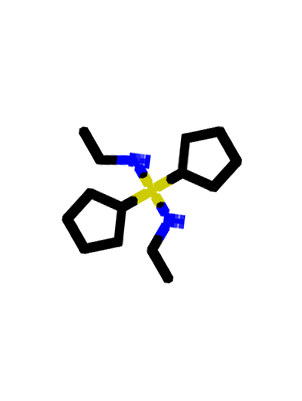 CCNS(NCC)(C1CCCC1)C1CCCC1